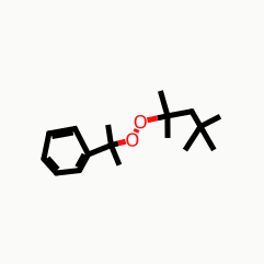 CC(C)(C)CC(C)(C)OOC(C)(C)c1ccccc1